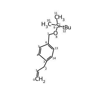 C=C[CH]c1ccc(CO[Si](C)(C)C(C)(C)C)cc1